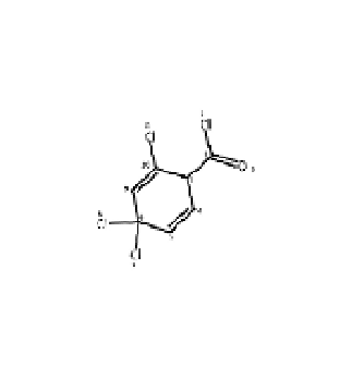 O=C(Cl)C1C=CC(Cl)(Cl)C=C1Cl